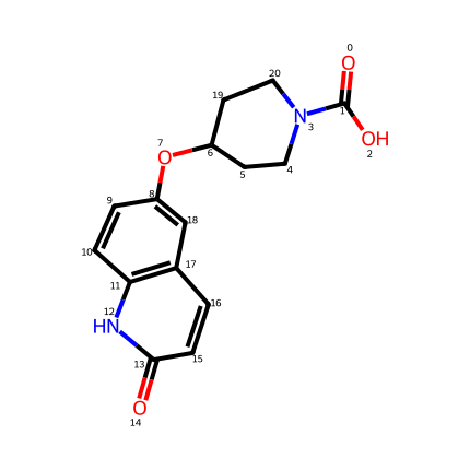 O=C(O)N1CCC(Oc2ccc3[nH]c(=O)ccc3c2)CC1